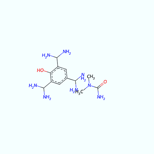 CN(C)C(N)=O.NC(N)c1cc(C(N)N)c(O)c(C(N)N)c1